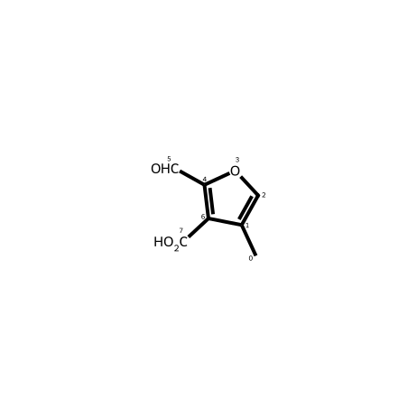 Cc1coc(C=O)c1C(=O)O